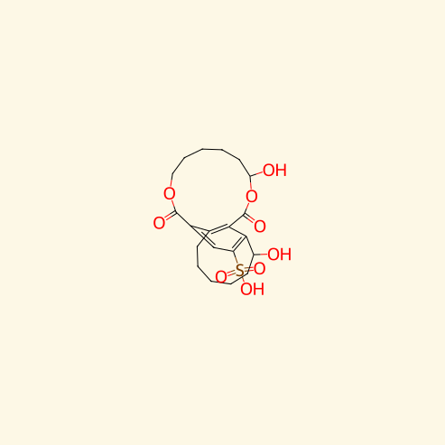 O=C1OCCCCCC(O)OC(=O)c2c3c1cc(S(=O)(=O)O)c2C(O)CCCCC3